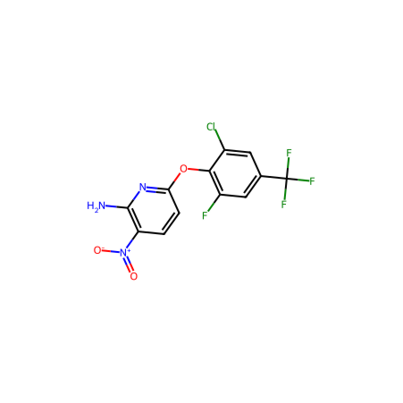 Nc1nc(Oc2c(F)cc(C(F)(F)F)cc2Cl)ccc1[N+](=O)[O-]